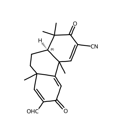 CC12C=C(C=O)C(=O)C=C1C1(C)C=C(C#N)C(=O)C(C)(C)[C@@H]1CC2